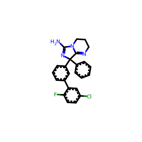 NC1=NC(c2ccccc2)(c2cccc(-c3cc(Cl)ccc3F)c2)C2=NCCCN12